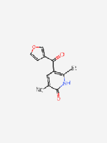 CCc1[nH]c(=O)c(C#N)cc1C(=O)c1ccoc1